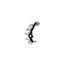 CC(=C\C=C\C(C)=C\[C@H](O)[C@@H](O)C[C@H](C)O)/C=C(C)/C=C/C(=O)O[C@H]1CCCC(=O)O[C@@H]([C@@H](C)Cn2cc([C@H](C)O)nn2)C/C=C/C[C@@H]1C